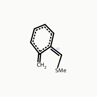 C=c1cccc/c1=C/SC